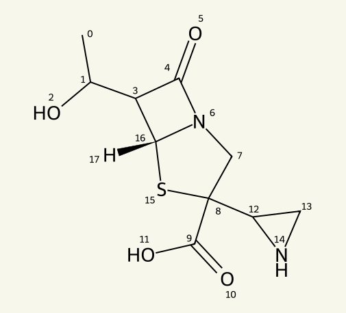 CC(O)C1C(=O)N2CC(C(=O)O)(C3CN3)S[C@H]12